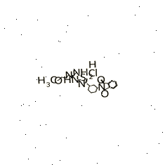 COCC/N=C(/N)Nc1nc(C2CCCC(N3C(=O)c4ccccc4C3=O)C2)cs1.Cl